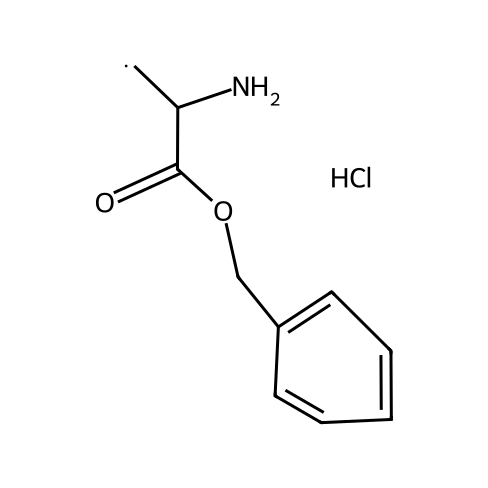 Cl.[CH2]C(N)C(=O)OCc1ccccc1